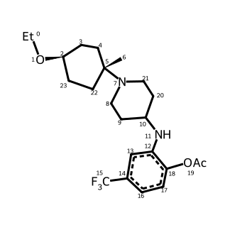 CCO[C@H]1CC[C@](C)(N2CCC(Nc3cc(C(F)(F)F)ccc3OC(C)=O)CC2)CC1